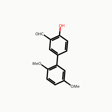 COc1ccc(OC)c(-c2ccc(O)c(C=O)c2)c1